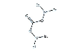 CCN(CC)OC(=O)ON(CC)CC